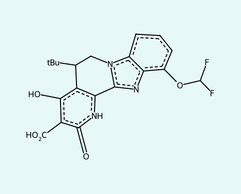 CC(C)(C)C1Cn2c(nc3c(OC(F)F)cccc32)-c2[nH]c(=O)c(C(=O)O)c(O)c21